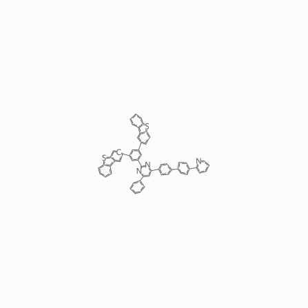 c1ccc(-c2cc(-c3ccc(-c4ccc(-c5ccccn5)cc4)cc3)nc(-c3cc(-c4ccc5sc6ccccc6c5c4)cc(-c4ccc5sc6ccccc6c5c4)c3)n2)cc1